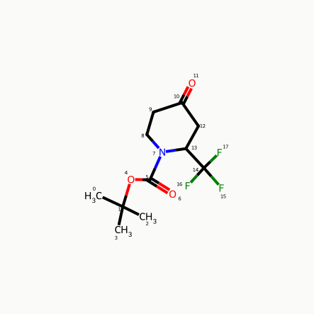 CC(C)(C)OC(=O)N1CCC(=O)CC1C(F)(F)F